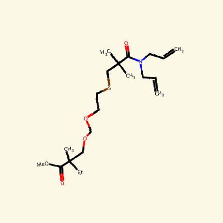 C=CCN(CC=C)C(=O)C(C)(C)CSCCOCOCC(C)(CC)C(=O)OC